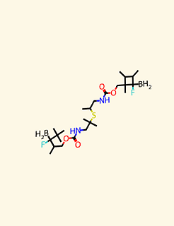 BC(F)(C(C)COC(=O)NCC(C)(C)SC(C)CNC(=O)OCC1(C)C(C)C(C)C1(B)F)C(C)(C)C